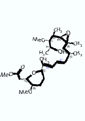 COC(=O)C[C@@H]1O[C@H](/C(C)=C/C=C/[C@@H](C)C[C@@]2(C)O[C@@H]2[C@H](C)[C@@H](OC)[C@@H](C)O)CC[C@H]1OC